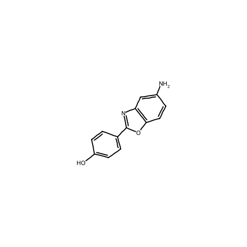 Nc1ccc2oc(-c3ccc(O)cc3)nc2c1